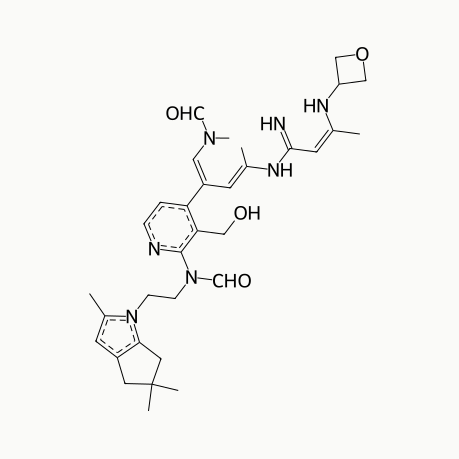 C/C(=C/C(=N)N/C(C)=C/C(=C\N(C)C=O)c1ccnc(N(C=O)CCn2c(C)cc3c2CC(C)(C)C3)c1CO)NC1COC1